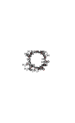 CCCC[C@H]1C(=O)N(C)[C@@H](CCCC)C(=O)N[C@@H](CCCNC(=N)N)C(=O)N[C@H](C(=O)NCC(N)=O)CSCC(=O)N[C@@H](Cc2ccc(O)cc2)C(=O)N(C)[C@@H](C)C(=O)N[C@@H](CC(N)=O)C(=O)N2CCC[C@H]2C(=O)N[C@@H](CN)C(=O)N[C@@H](CC(C)C)C(=O)N2C[C@H](O)C[C@H]2C(=O)N[C@@H](Cc2c[nH]c3ccccc23)C(=O)N[C@@H](CC(=O)O)C(=O)N[C@@H](Cc2c[nH]c3ccccc23)C(=O)N1C